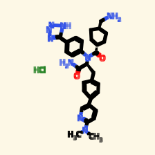 CN(C)c1ccc(-c2ccc(C[C@@H](C(N)=O)N(c3ccc(-c4nnn[nH]4)cc3)C(=O)[C@H]3CC[C@H](CN)CC3)cc2)cn1.Cl